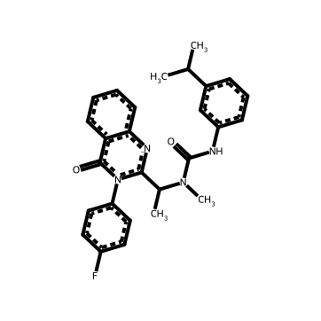 CC(C)c1cccc(NC(=O)N(C)C(C)c2nc3ccccc3c(=O)n2-c2ccc(F)cc2)c1